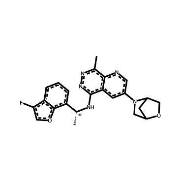 Cc1nnc(N[C@H](C)c2cccc3c(F)coc23)c2cc(N3CC4CC3CO4)cnc12